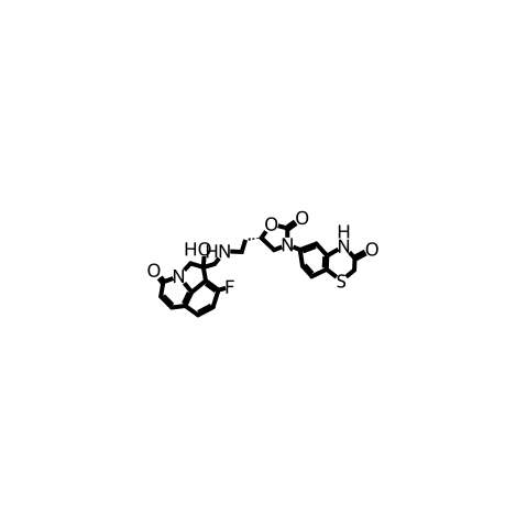 O=C1CSc2ccc(N3C[C@H](CCNCC4(O)Cn5c(=O)ccc6ccc(F)c4c65)OC3=O)cc2N1